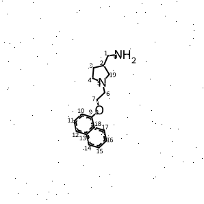 NCC1CCN(CCOc2cccc3ccccc23)C1